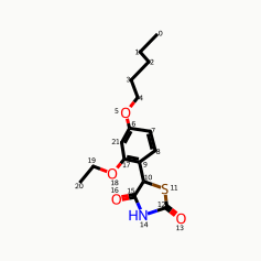 CCCCCOc1ccc(C2SC(=O)NC2=O)c(OCC)c1